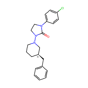 O=C1N(c2ccc(Cl)cc2)CCN1N1CCC[C@H](Cc2ccccc2)C1